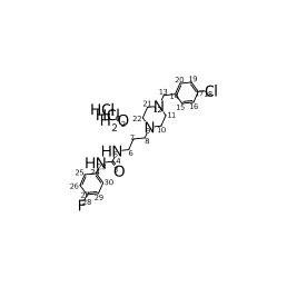 Cl.Cl.O.O=C(NCCCN1CCN(Cc2ccc(Cl)cc2)CC1)Nc1ccc(F)cc1